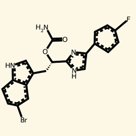 NC(=O)O[C@@H](Cc1c[nH]c2ccc(Br)cc12)c1nc(-c2ccc(F)cc2)c[nH]1